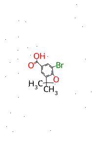 CC1(C)COc2c(Br)cc(C(=O)O)cc21